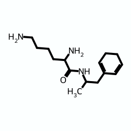 CC(CC1=CCCC=C1)NC(=O)C(N)CCCCN